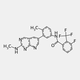 CNc1ncc2cc(-c3cc(NC(=O)c4cccc(F)c4C(F)(F)F)ccc3C)cnc2n1